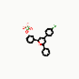 Brc1ccc(-c2cc(-c3ccccc3)[o+]c(-c3ccccc3)c2)cc1.[O-][Cl+3]([O-])([O-])[O-]